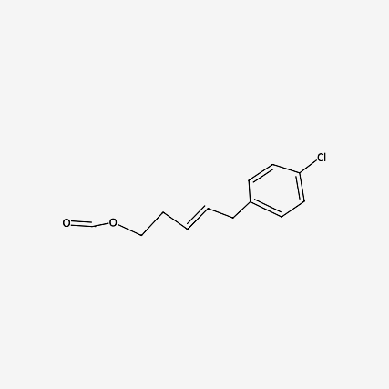 O=[C]OCC/C=C/Cc1ccc(Cl)cc1